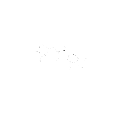 CCOc1ccc(C=C(Br)C(=O)c2cc(OC)c(OC)c(OC)c2)cc1N